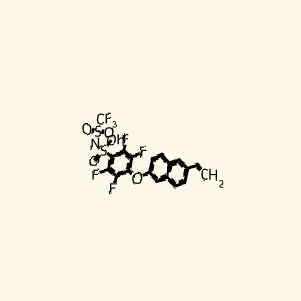 C=Cc1ccc2cc(Oc3c(F)c(F)c(S(=O)(O)=NS(=O)(=O)C(F)(F)F)c(F)c3F)ccc2c1